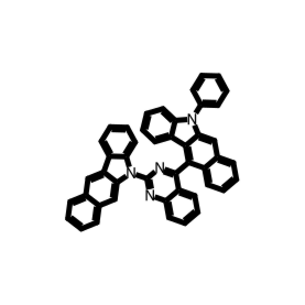 c1ccc(-n2c3ccccc3c3c(-c4nc(-n5c6ccccc6c6cc7ccccc7cc65)nc5ccccc45)c4ccccc4cc32)cc1